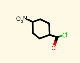 O=C(Cl)C1CCC([N+](=O)[O-])CC1